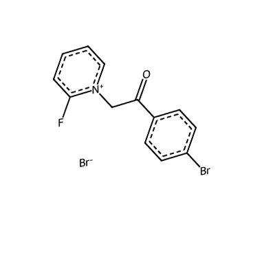 O=C(C[n+]1ccccc1F)c1ccc(Br)cc1.[Br-]